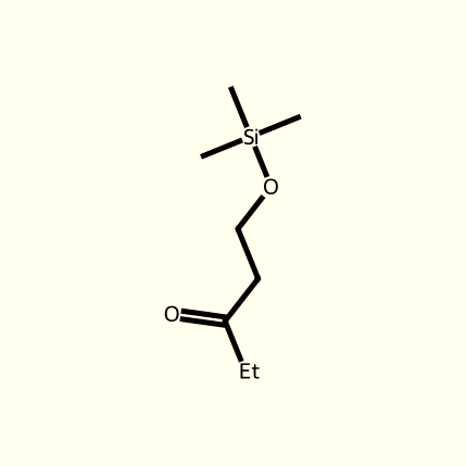 CCC(=O)CCO[Si](C)(C)C